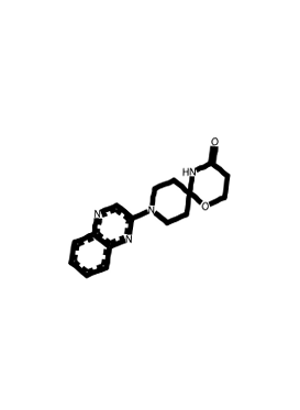 O=C1CCOC2(CCN(c3cnc4ccccc4n3)CC2)N1